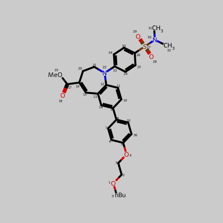 CCCCOCCOc1ccc(-c2ccc3c(c2)C=C(C(=O)OC)CCN3c2ccc(S(=O)(=O)N(C)C)cc2)cc1